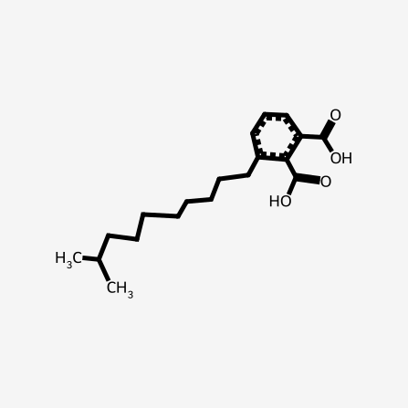 CC(C)CCCCCCCCc1cccc(C(=O)O)c1C(=O)O